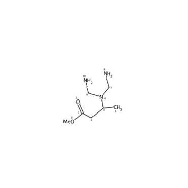 COC(=O)CC(C)N(CN)CN